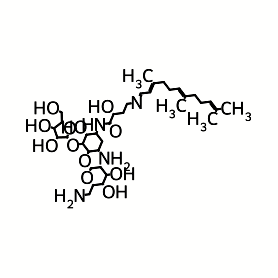 CC(C)=CCC/C(C)=C/CC/C(C)=C/C=N/CCC(O)C(=O)NC1CC(N)C(OC2CC(O)C(O)C(CN)O2)C(OC2OC(CO)C(O)C2O)C1O